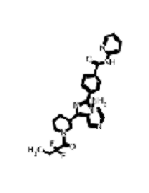 CCC(F)(F)C(=O)N1CCCC(C2=C3C=NC=C[N+]3(N)C(c3ccc(C(=O)Nc4ccccn4)cc3)=N2)C1